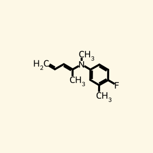 C=C/C=C(\C)N(C)c1ccc(F)c(C)c1